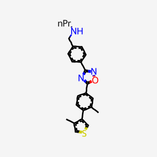 [CH2]CCNCc1ccc(-c2noc(-c3ccc(-c4cscc4C)c(C)c3)n2)cc1